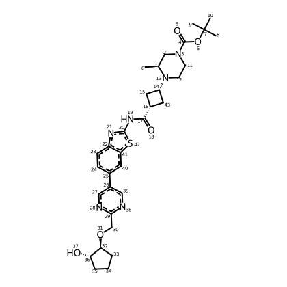 C[C@H]1CN(C(=O)OC(C)(C)C)CCN1[C@H]1C[C@@H](C(=O)Nc2nc3ccc(-c4cnc(CO[C@H]5CCC[C@@H]5O)nc4)cc3s2)C1